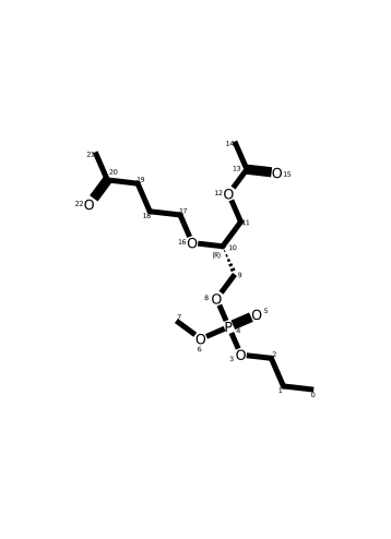 CCCOP(=O)(OC)OC[C@@H](COC(C)=O)OCCCC(C)=O